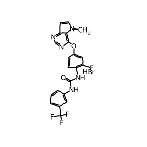 Br.Cn1ccc2ncnc(Oc3ccc(NC(=O)Nc4cccc(C(F)(F)F)c4)c(F)c3)c21